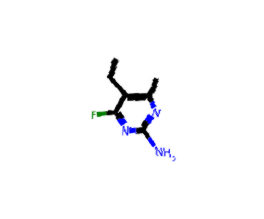 CCc1c(C)nc(N)nc1F